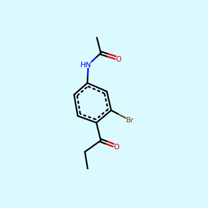 CCC(=O)c1ccc(NC(C)=O)cc1Br